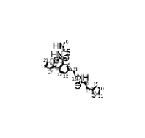 CNC(=S)NS(=O)(=O)c1cc(CCNC(=O)C=Cc2cccs2)ccc1-c1ccco1